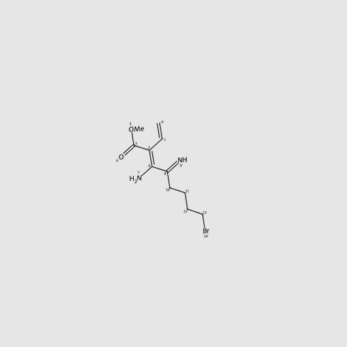 C=C/C(C(=O)OC)=C(/N)C(=N)CCCCBr